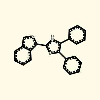 c1ccc(-c2nc(-c3scc4ccccc34)[nH]c2-c2ccccc2)cc1